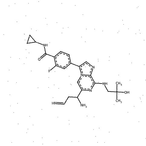 CC(C)(O)CNc1nc(C(N)CC=N)cn2c(-c3ccc(C(=O)NC4CC4)c(F)c3)cnc12